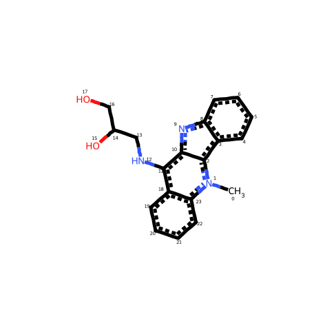 Cn1c2c3ccccc3nc-2c(NCC(O)CO)c2ccccc21